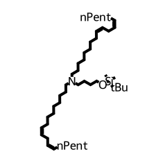 CCCCC/C=C\C/C=C\CCCCCCCCN(CCCCCCCC/C=C\C/C=C\CCCCC)CCCCO[Si](C)(C)C(C)(C)C